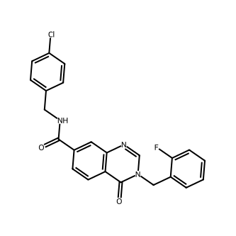 O=C(NCc1ccc(Cl)cc1)c1ccc2c(=O)n(Cc3ccccc3F)cnc2c1